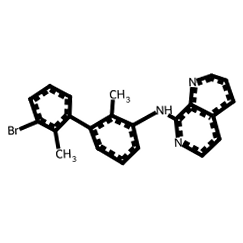 Cc1c(Br)cccc1-c1cccc(Nc2nccc3cccnc23)c1C